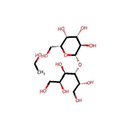 CCO.OC[C@@H](O)[C@@H](O[C@@H]1O[C@H](CO)[C@H](O)[C@H](O)[C@H]1O)[C@H](O)[C@@H](O)CO